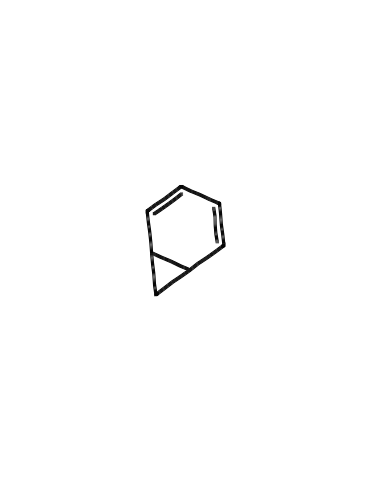 C1=CC2CC2C=C1